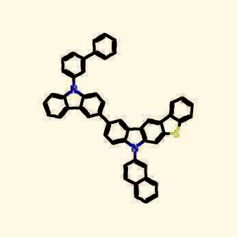 c1ccc(-c2cccc(-n3c4ccccc4c4cc(-c5ccc6c(c5)c5cc7c(cc5n6-c5ccc6ccccc6c5)sc5ccccc57)ccc43)c2)cc1